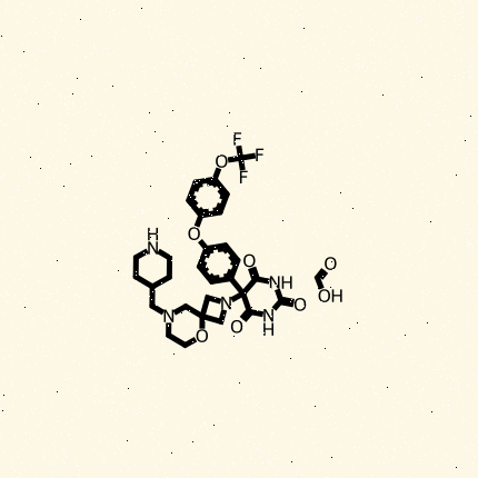 O=C1NC(=O)C(c2ccc(Oc3ccc(OC(F)(F)F)cc3)cc2)(N2CC3(CN(CC4CCNCC4)CCO3)C2)C(=O)N1.O=CO